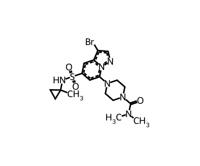 CN(C)C(=O)N1CCN(c2cc(S(=O)(=O)NC3(C)CC3)cc3c(Br)cnn23)CC1